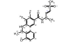 C[C@H](/C=C/S(C)(=O)=O)NC(=O)c1ccc(N[C@H](C)c2ccccc2Cl)c(F)c1F